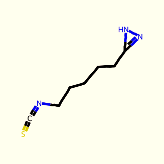 S=C=NCCCCCC1=NN1